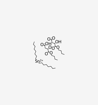 CCCCCCC[CH2][Sn+2][CH2]CCCCCCC.CCCCOC(=O)C(O)CC(=O)[O-].CCCCOC(=O)C(O)CC(=O)[O-]